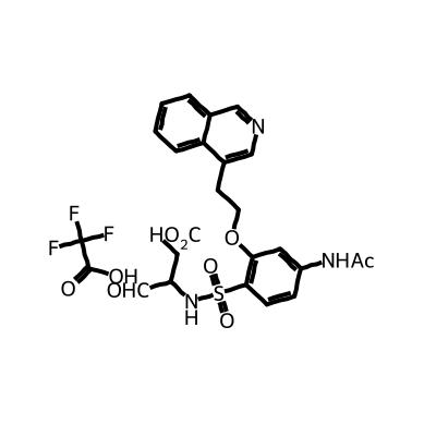 CC(=O)Nc1ccc(S(=O)(=O)NC(C=O)CC(=O)O)c(OCCc2cncc3ccccc23)c1.O=C(O)C(F)(F)F